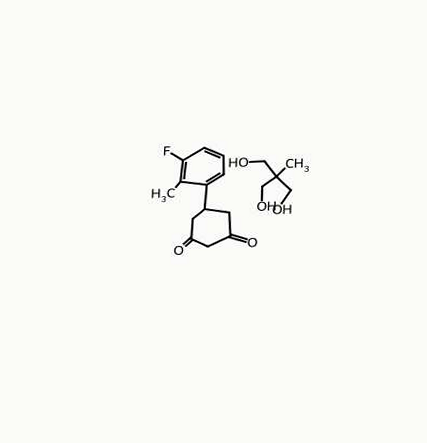 CC(CO)(CO)CO.Cc1c(F)cccc1C1CC(=O)CC(=O)C1